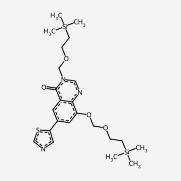 C[Si](C)(C)CCOCOc1cc(-c2cncs2)cc2c(=O)n(COCC[Si](C)(C)C)cnc12